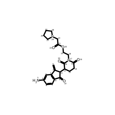 C=C1c2cc(N)ccc2C(=O)C1C1CCC(=O)N(CCOC(=O)CN2CCCC2)C1=O